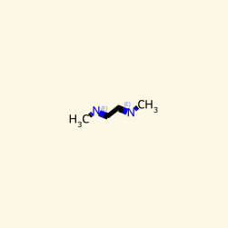 C/N=C/C=N/C